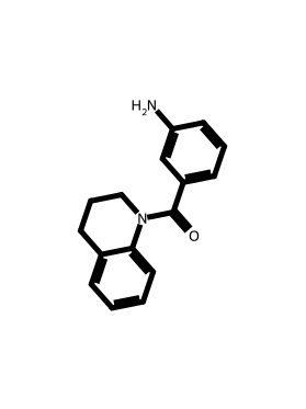 Nc1cccc(C(=O)N2CCCc3ccccc32)c1